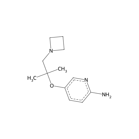 CC(C)(CN1CCC1)Oc1ccc(N)nc1